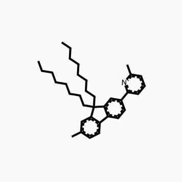 CCCCCCCCC1(CCCCCCCC)c2cc(C)ccc2-c2ccc(-c3cccc(C)n3)cc21